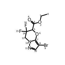 CCOC(=O)C1Oc2c(Br)cnn2CC1(F)F